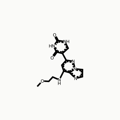 COCCNc1cc(-c2c[nH]c(=O)[nH]c2=O)nn2ccnc12